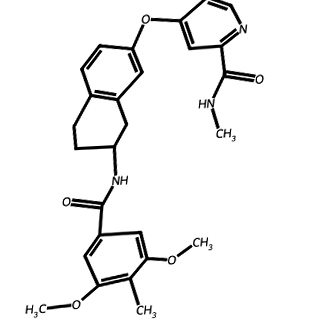 CNC(=O)c1cc(Oc2ccc3c(c2)CC(NC(=O)c2cc(OC)c(C)c(OC)c2)CC3)ccn1